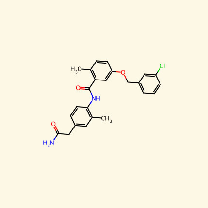 Cc1cc(CC(N)=O)ccc1NC(=O)c1cc(OCc2cccc(Cl)c2)ccc1C